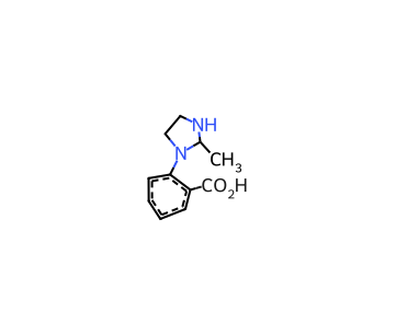 CC1NCCN1c1ccccc1C(=O)O